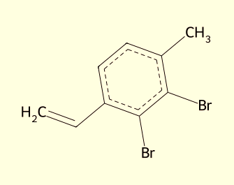 C=Cc1ccc(C)c(Br)c1Br